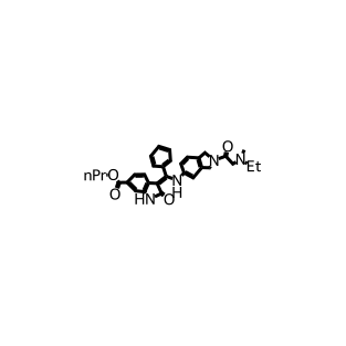 CCCOC(=O)c1ccc2c(c1)NC(=O)/C2=C(\Nc1ccc2c(c1)CN(C(=O)CN(C)CC)C2)c1ccccc1